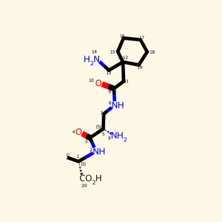 C[C@H](NC(=O)[C@@H](N)CNC(=O)CC1(CN)CCCCC1)C(=O)O